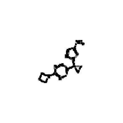 O=[N+]([O-])c1cnn(C2(c3cnc(N4CCC4)nc3)CC2)c1